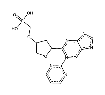 O=P(O)(O)COC1COC(c2nc3ncnc-3cn2-c2ncccn2)C1